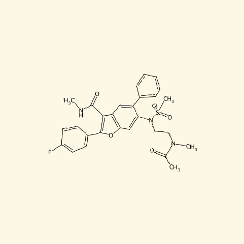 CNC(=O)c1c(-c2ccc(F)cc2)oc2cc(N(CCN(C)C(C)=O)S(C)(=O)=O)c(-c3ccccc3)cc12